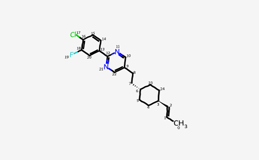 CC=C[C@H]1CC[C@H](CCc2cnc(-c3ccc(Cl)c(F)c3)nc2)CC1